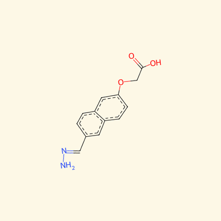 NN=Cc1ccc2cc(OCC(=O)O)ccc2c1